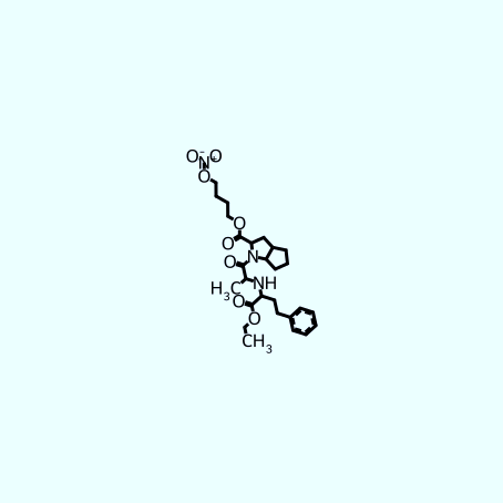 CCOC(=O)C(CCc1ccccc1)NC(C)C(=O)N1C(C(=O)OCCCCO[N+](=O)[O-])CC2CCCC21